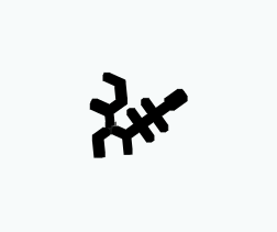 C#CC(C)(C)C(C)(C)C(C)N(C=C)C(=C)/C=C\C